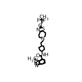 Cn1nnc2cccc(C(=O)NC3CCC(CCN4CCc5nc(OCC(C)(F)F)sc5CC4)CC3)c21